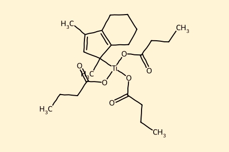 CCCC(=O)[O][Ti]([O]C(=O)CCC)([O]C(=O)CCC)[C]1(C)C=C(C)C2=C1CCCC2